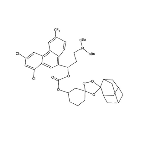 CCCCN(CCCC)CCC(OC(=O)OC1CCCC2(C1)OOC1(O2)C2CC3CC(C2)CC1C3)c1cc2c(Cl)cc(Cl)cc2c2cc(C(F)(F)F)ccc12